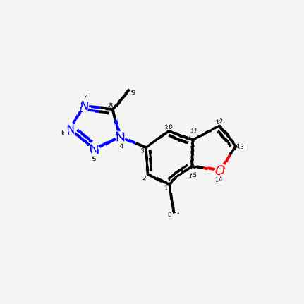 [CH2]c1cc(-n2nnnc2C)cc2ccoc12